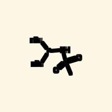 CCCCP(CCCC)NS(C)(=O)=O